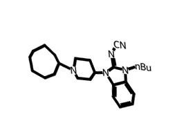 CCCCn1c(=NC#N)n(C2CCN(C3CCCCCCC3)CC2)c2ccccc21